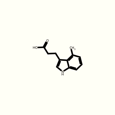 Cc1cccc2[nH]cc(CCC(=O)O)c12